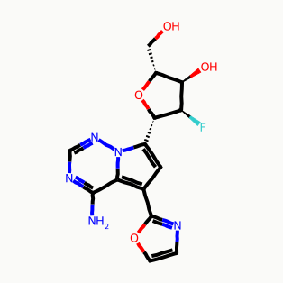 Nc1ncnn2c([C@@H]3O[C@H](CO)[C@@H](O)[C@H]3F)cc(-c3ncco3)c12